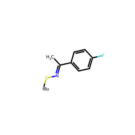 CC(=NSC(C)(C)C)c1ccc(F)cc1